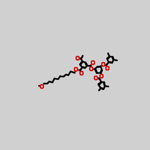 COCCCCCCCCCCCCOC(=O)c1cc(C(C)=O)cc(C(=O)Oc2cc(OC(=O)c3cc(C)cc(C)c3)cc(OC(=O)c3cc(C)cc(C)c3)c2)c1